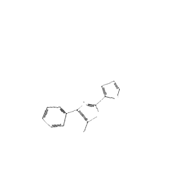 Cc1sc(-c2cccs2)nc1-c1ccccc1